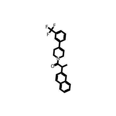 CC(C(=O)N1CC=C(c2cccc(C(F)(F)F)c2)CC1)c1ccc2ccccc2c1